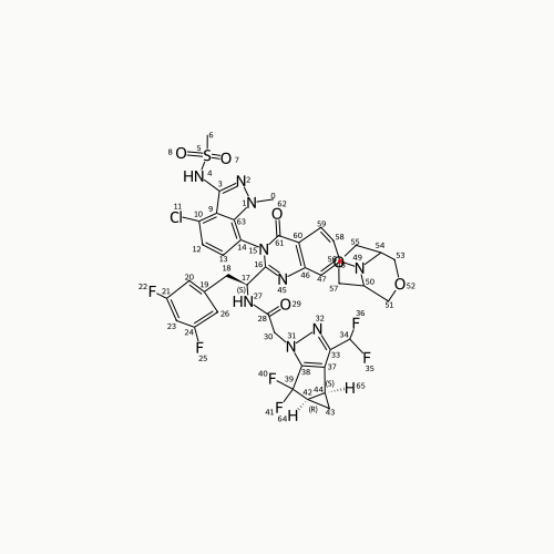 Cn1nc(NS(C)(=O)=O)c2c(Cl)ccc(-n3c([C@H](Cc4cc(F)cc(F)c4)NC(=O)Cn4nc(C(F)F)c5c4C(F)(F)[C@@H]4C[C@H]54)nc4cc(N5C6COCC5COC6)ccc4c3=O)c21